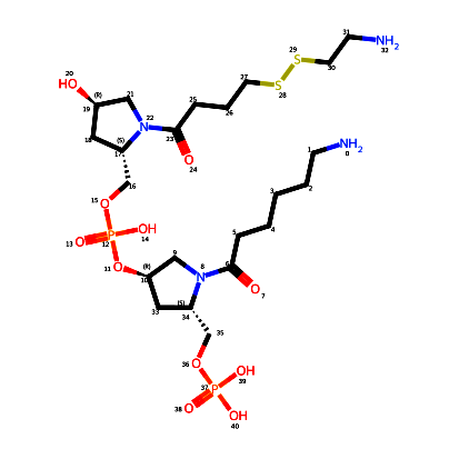 NCCCCCC(=O)N1C[C@H](OP(=O)(O)OC[C@@H]2C[C@@H](O)CN2C(=O)CCCSSCCN)C[C@H]1COP(=O)(O)O